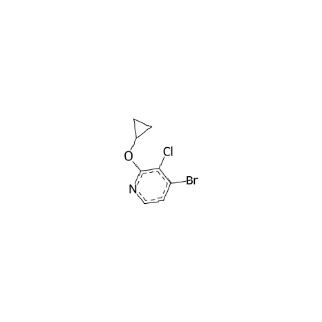 Clc1c(Br)ccnc1OC1CC1